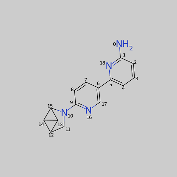 Nc1cccc(-c2ccc(N3CC4C5C4C53)nc2)n1